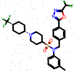 Cc1cccc(N(Cc2ccc(-c3nnc(C(F)F)o3)cc2)S(=O)(=O)C2CCN([C@H]3CC[C@H](C(F)(F)F)CC3)CC2)c1